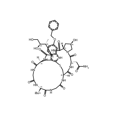 CC[C@H](C)[C@@H]1NC(=O)CNC(=O)[C@@H]2Cc3c([nH]c4cc(OCc5ccccc5)ccc34)SC[C@H](NC(=O)CNC1=O)C(=O)N[C@@H](CC(N)=O)C(=O)N1C[C@H](O)C[C@H]1C(=O)N[C@@H]([C@@H](C)[C@@H](O)CO)C(=O)N2